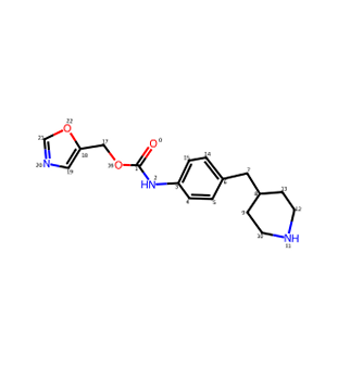 O=C(Nc1ccc(CC2CCNCC2)cc1)OCc1cnco1